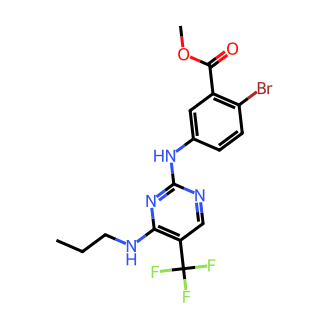 CCCNc1nc(Nc2ccc(Br)c(C(=O)OC)c2)ncc1C(F)(F)F